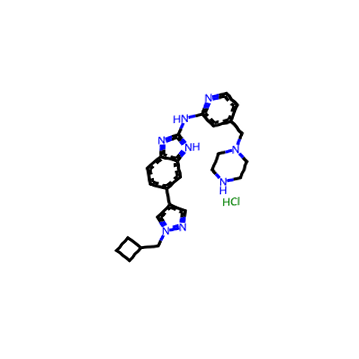 Cl.c1cc(CN2CCNCC2)cc(Nc2nc3ccc(-c4cnn(CC5CCC5)c4)cc3[nH]2)n1